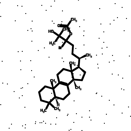 CC(=O)OC(Br)(CC[C@@H](C)[C@H]1CC[C@@]2(C)C3=C(CC[C@]12C)[C@@]1(C)CCCC(C)(C)[C@@H]1CC3)C(C)(C)O